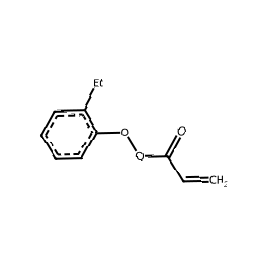 C=CC(=O)OOc1ccccc1CC